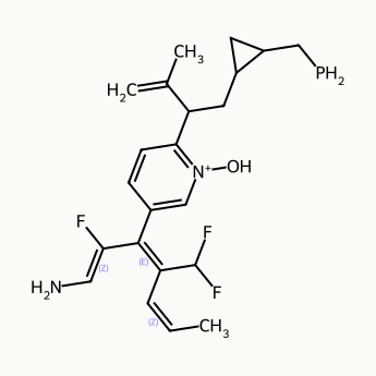 C=C(C)C(CC1CC1CP)c1ccc(C(/C(F)=C/N)=C(/C=C\C)C(F)F)c[n+]1O